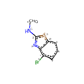 O=CNc1nc2c(Br)cccc2s1